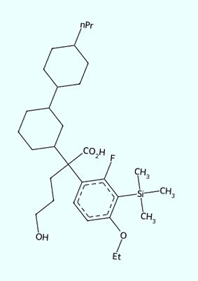 CCCC1CCC(C2CCCC(C(CCCO)(C(=O)O)c3ccc(OCC)c([Si](C)(C)C)c3F)C2)CC1